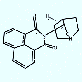 O=C1c2cccc3cccc(c23)C(=O)N1[C@@H]1CN2CCC1CC2